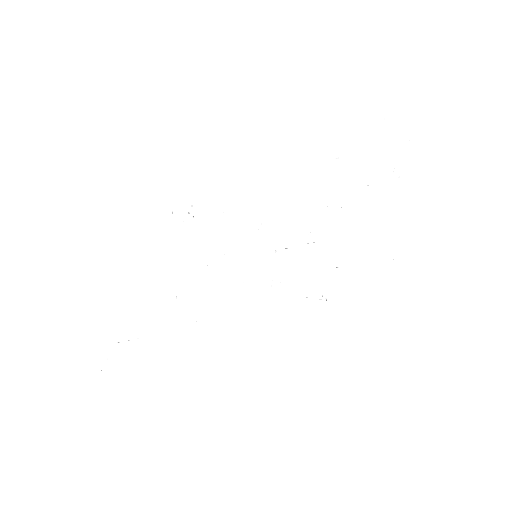 CCOC(=O)c1ncc(-c2cccc(Oc3ccccc3)c2)c(C)c1OCc1ccccc1.NCC(=O)O